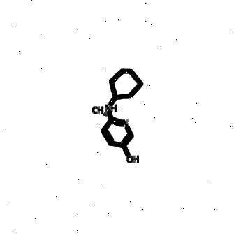 C.Oc1ccc(NC2CCCCC2)nc1